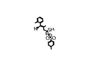 C/C(C/C(S)=N/OS(=O)(=O)C1=CCC(C)C=C1)=C(/C#N)c1ccccc1C